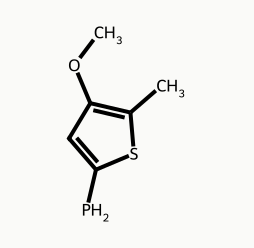 COc1cc(P)sc1C